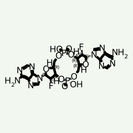 Nc1ncnc2c1ncn2[C@@H]1O[C@@H]2COP(=O)(O)O[C@H]3[C@@H](F)[C@H](n4cnc5c(N)ncnc54)O[C@@H]3COP(=O)(O)O[C@H]2[C@H]1F